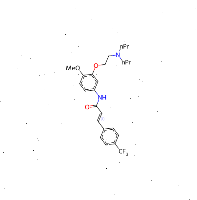 CCCN(CCC)CCOc1cc(NC(=O)/C=C/c2ccc(C(F)(F)F)cc2)ccc1OC